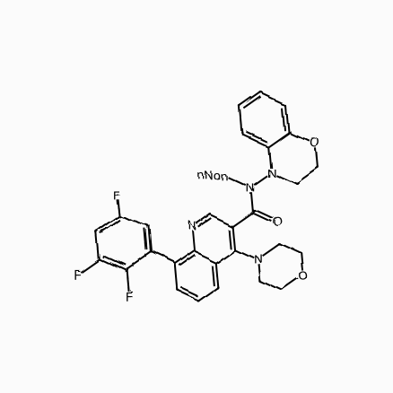 CCCCCCCCCN(C(=O)c1cnc2c(-c3cc(F)cc(F)c3F)cccc2c1N1CCOCC1)N1CCOc2ccccc21